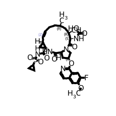 COc1cc2ccnc(O[C@@H]3C[C@H]4C(=O)N[C@]5(C(=O)NS(=O)(=O)C6CC6)C[C@H]5/C=C\CC[C@@H](C)C[C@@H](C)[C@H](NC(=O)O)C(=O)N4C3)c2cc1F